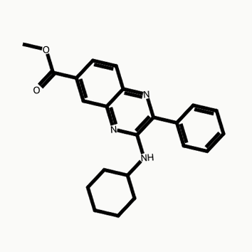 COC(=O)c1ccc2nc(-c3ccccc3)c(NC3CCCCC3)nc2c1